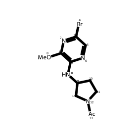 COc1nc(Br)cnc1NC1CCN(C(C)=O)C1